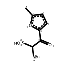 CCCCC(C(=O)c1ccc(C)o1)S(=O)(=O)O